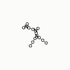 c1ccc(-c2ccc(-c3ccc4c(c3)c3cc(-c5ccc(-c6ccccc6)cc5)ccc3n4-c3ccc(N(c4ccccc4)c4ccc(-c5ccc6c(c5)c5ccccc5n6-c5ccccc5)cc4)cc3)cc2)cc1